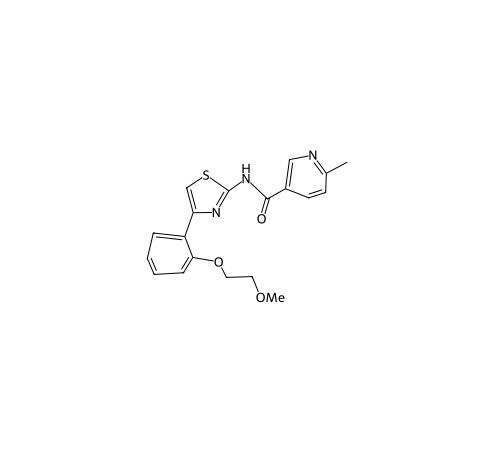 COCCOc1ccccc1-c1csc(NC(=O)c2ccc(C)nc2)n1